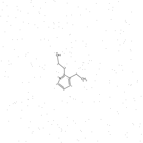 CCc1cccnc1CCO